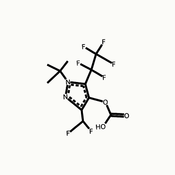 CC(C)(C)n1nc(C(F)F)c(OC(=O)O)c1C(F)(F)C(F)(F)F